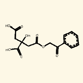 O=C(O)CC(O)(CC(=O)OCC(=O)c1ccccc1)C(=O)O